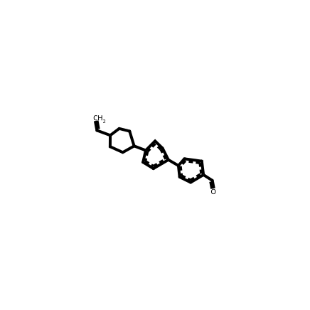 C=CC1CCC(c2ccc(-c3ccc(C=O)cc3)cc2)CC1